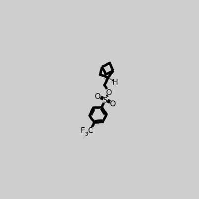 O=S(=O)(OC[C@H]1CC2CC1C2)c1ccc(C(F)(F)F)cc1